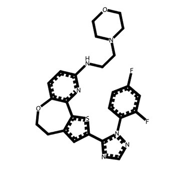 Fc1ccc(-n2ncnc2-c2cc3c(s2)-c2nc(NCCN4CCOCC4)ccc2OCC3)c(F)c1